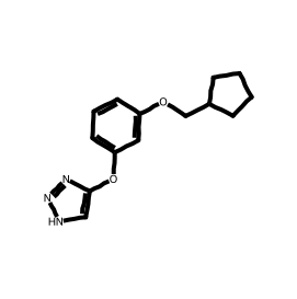 c1cc(OCC2CCCC2)cc(Oc2c[nH]nn2)c1